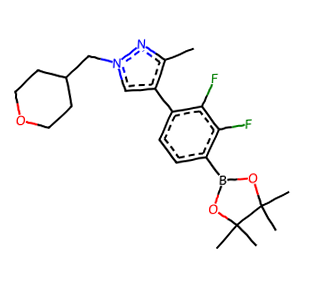 Cc1nn(CC2CCOCC2)cc1-c1ccc(B2OC(C)(C)C(C)(C)O2)c(F)c1F